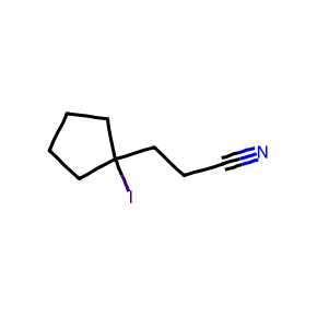 N#CCCC1(I)CCCC1